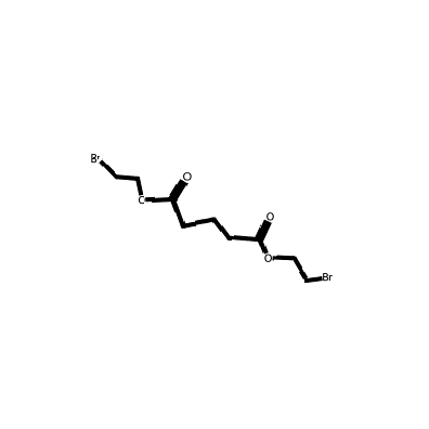 O=C(CCCC(=O)OCCBr)OCCBr